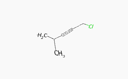 [CH2]C(C)C#CCCl